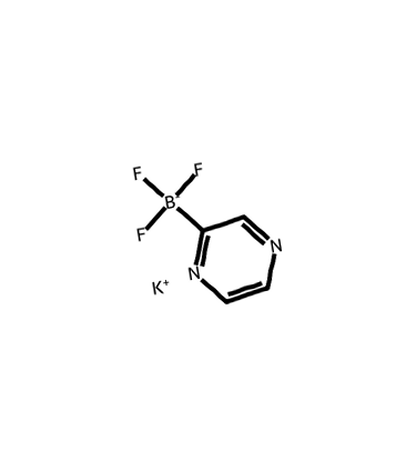 F[B-](F)(F)c1cnccn1.[K+]